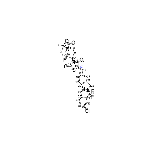 CC(C)(C)[N+]1(C(=O)[O-])CC[C@@H](N2C(=O)S/C(=C\c3ccc4c(cnn4Cc4ccc(Cl)cc4C(F)(F)F)c3)C2=O)[C@H](F)C1